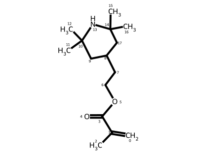 C=C(C)C(=O)OCCC1CC(C)(C)NC(C)(C)C1